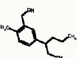 CCCC(CC)c1ccc(C)c(CO)c1